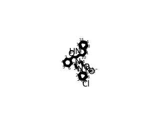 O=C(C1CCCCC1)C(C1CCc2ccccc2N1)N1CCN(c2ccc(Cl)cc2[N+](=O)[O-])CC1